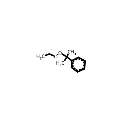 CCOOC(C)(C)c1ccccc1